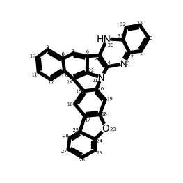 C1=CC2=Nc3c(c4cc5ccccc5c5c6cc7c(cc6n3c45)oc3ccccc37)NC2C=C1